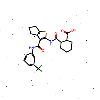 O=C(Nc1cccc(C(F)(F)F)c1)c1c(NC(=O)C2CCCCC2C(=O)O)sc2c1CCC2